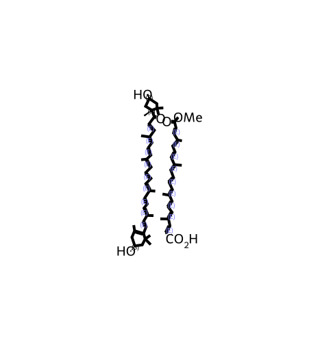 CC1=C(/C=C/C(C)=C/C=C/C(C)=C/C=C/C=C(C)/C=C/C=C(C)/C=C/C(=O)[C@]2(C)C[C@@H](O)CC2(C)C)C(C)(C)C[C@H](O)C1.COC(=O)/C=C/C(C)=C/C=C/C(C)=C/C=C/C=C(C)/C=C/C=C(C)/C=C/C(=O)O